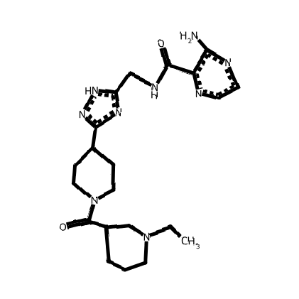 CCN1CCCC(C(=O)N2CCC(c3n[nH]c(CNC(=O)c4nccnc4N)n3)CC2)C1